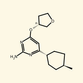 C[C@H]1CC[C@H](c2cc(O[C@@H]3CCOC3)nc(N)n2)CC1